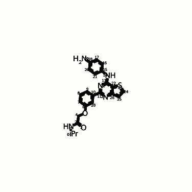 CC(C)NC(=O)COc1cccc(-c2nc(Nc3ccc(N)cc3)c3sccc3n2)c1